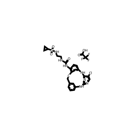 O=C(NCCNS(=O)(=O)C1CC1)Nc1ccc2cc1CCc1cccc(c1)Nc1ncc(Cl)c(n1)N2.O=C(O)C(F)(F)F